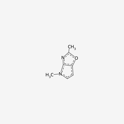 Cc1nc2c(ccn2C)o1